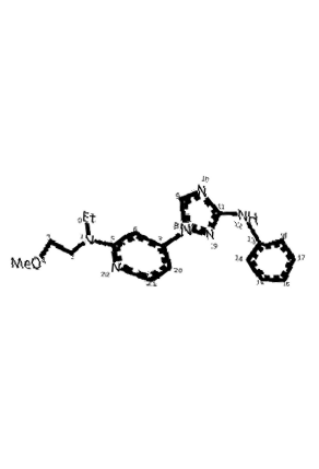 CCN(CCOC)c1cc(-n2cnc(Nc3ccccc3)n2)ccn1